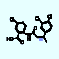 C/C(=C/C(=O)Nc1ccc(Cl)cc1C(=O)O)c1ccc(Cl)c(Cl)c1